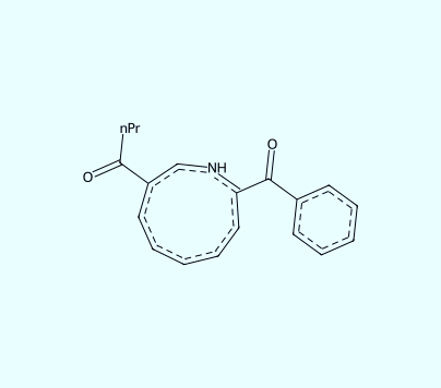 CCCC(=O)c1cccccc(C(=O)c2ccccc2)[nH]c1